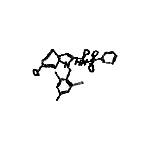 Cc1cc(C)c(Cn2c(C(=O)NS(=O)(=O)c3ccccc3)cc3ccc(Cl)cc32)c(C)c1